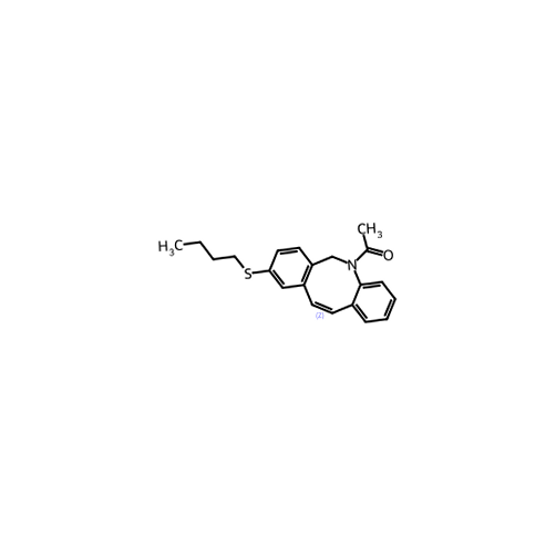 CCCCSc1ccc2c(c1)/C=C\c1ccccc1N(C(C)=O)C2